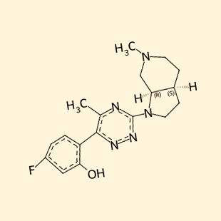 Cc1nc(N2CC[C@@H]3CCN(C)C[C@@H]32)nnc1-c1ccc(F)cc1O